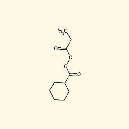 CCC(=O)OOC(=O)C1CCCCC1